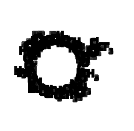 CC[C@H](C)[C@@H]1NC(=O)[C@H](CC(C)C)N(C)C(=O)C[C@@H](C(=O)N2CCCCC2)N(C)C(=O)[C@H](C2CCCCC2)N(C)C(=O)C2(CCCC2)NC(=O)[C@H](C)N(CC)C(=O)[C@H](CCc2ccc(C(F)(F)F)c(Cl)c2)NC(=O)CN(C)C(=O)[C@H](CC2CCCCC2)N(C)C(=O)CN(C)C(=O)CN(C)C1=O